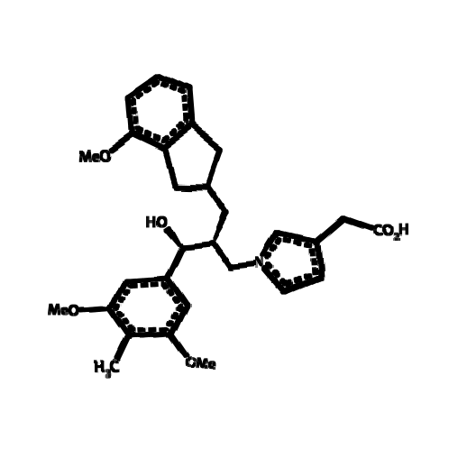 COc1cc([C@@H](O)[C@@H](CC2Cc3cccc(OC)c3C2)Cn2ccc(CC(=O)O)c2)cc(OC)c1C